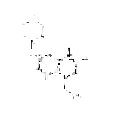 CCn1cc(C)c(=O)c2cc(NC3CCOCC3)cnc21